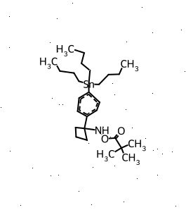 CCC[CH2][Sn]([CH2]CCC)([CH2]CCC)[c]1ccc(C2(NOC(=O)C(C)(C)C)CCC2)cc1